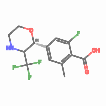 Cc1cc([C@H]2OCCNC2C(F)(F)F)cc(F)c1C(=O)O